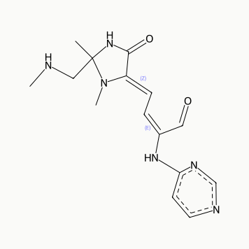 CNCC1(C)NC(=O)/C(=C/C=C(\C=O)Nc2ccncn2)N1C